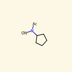 CC(=O)N(N=O)C1CCCC1